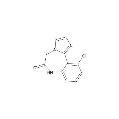 O=C1Cn2ccnc2-c2c(Cl)cccc2N1